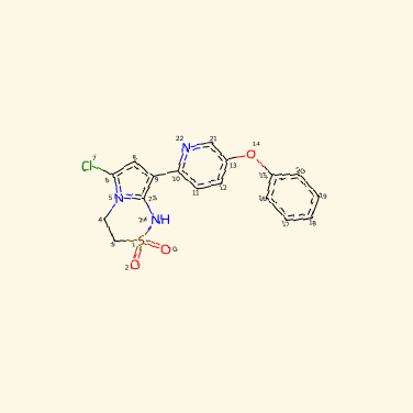 O=S1(=O)CCn2c(Cl)cc(-c3ccc(Oc4ccccc4)cn3)c2N1